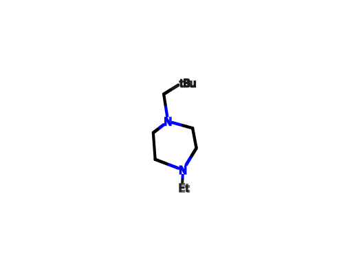 [CH2]C(C)(C)CN1CCN(CC)CC1